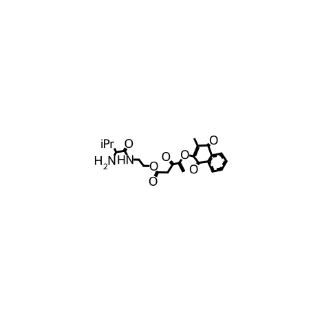 C=C(OC1=C(C)C(=O)c2ccccc2C1=O)C(=O)CC(=O)OCCNC(=O)C(N)C(C)C